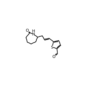 O=Cc1ccc(C=CCC2CCCCC(=O)N2)s1